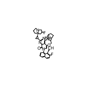 C#Cc1c(F)ccc2cccc(-n3cc4c5c(nc(C6CC6[C@@]67CCCN6C[C@H](F)C7)nc5c3=O)N3CC5CCC(N5)C3CO4)c12